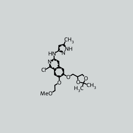 COCCOc1cc2c(Cl)nc(Nc3cc(C)[nH]n3)cc2cc1OCC1COC(C)(C)O1